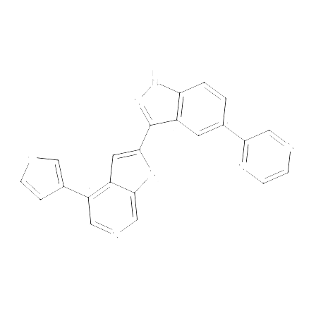 c1cnc(-c2ccc3[nH]nc(-c4cc5c(-c6ccoc6)cncc5[nH]4)c3c2)cn1